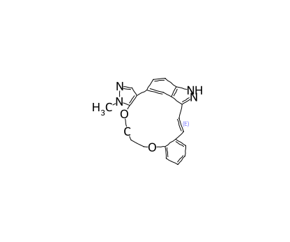 Cn1ncc2c1OCCCOc1ccccc1/C=C/c1n[nH]c3ccc-2cc13